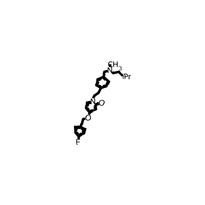 CC(C)CCN(C)Cc1ccc(CCn2ccc(OCc3ccc(F)cc3)cc2=O)cc1